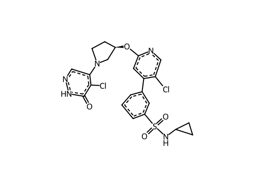 O=c1[nH]ncc(N2CC[C@@H](Oc3cc(-c4cccc(S(=O)(=O)NC5CC5)c4)c(Cl)cn3)C2)c1Cl